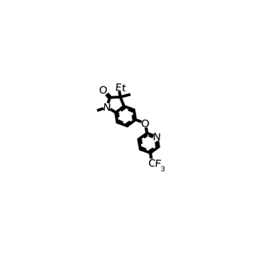 CCC1(C)C(=O)N(C)c2ccc(Oc3ccc(C(F)(F)F)cn3)cc21